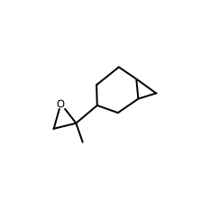 CC1(C2CCC3CC3C2)CO1